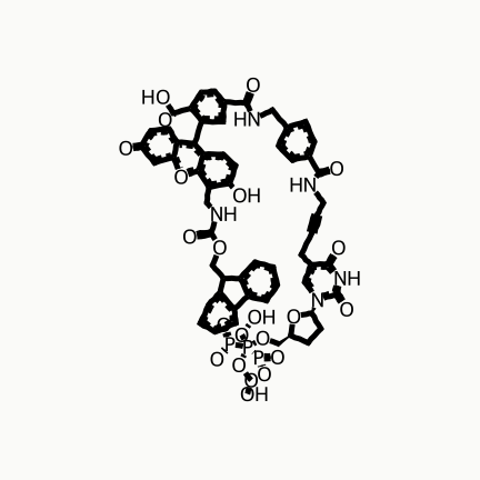 O=C(NCc1c(O)ccc2c(-c3cc(C(=O)NCc4ccc(C(=O)NCC#CCc5cn([C@H]6CC[C@@H](COP(OO)(OOO)(P(=O)=O)P(=O)=O)O6)c(=O)[nH]c5=O)cc4)ccc3C(=O)O)c3ccc(=O)cc-3oc12)OCC1c2ccccc2-c2ccccc21